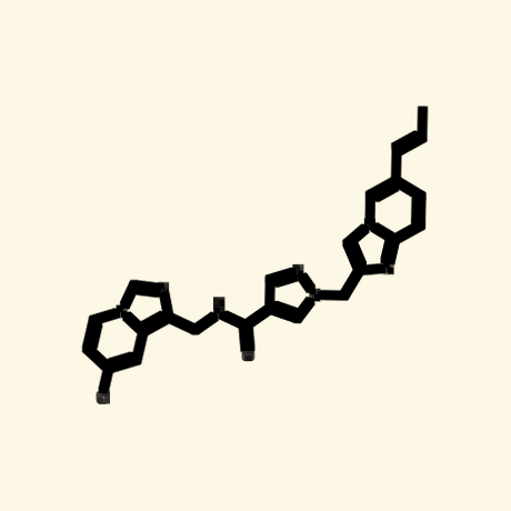 CC=Cc1ccc2nc(Cn3cc(C(=O)NCc4ncn5ccc(Cl)cc45)cn3)cn2c1